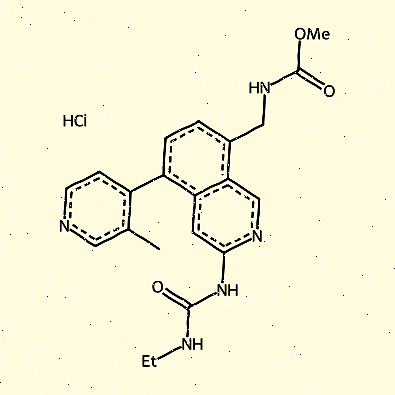 CCNC(=O)Nc1cc2c(-c3ccncc3C)ccc(CNC(=O)OC)c2cn1.Cl